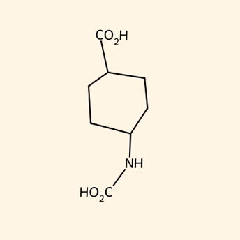 O=C(O)NC1CCC(C(=O)O)CC1